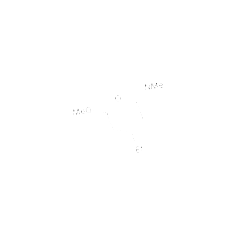 CCC(CCNC)CC(=O)OC